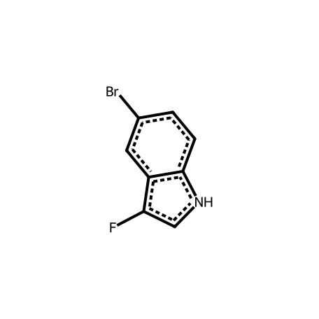 Fc1c[nH]c2ccc(Br)cc12